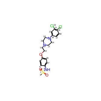 CS(=O)(=O)Nc1ccc(OCCN2CCN(c3ccc(Cl)c(Cl)c3)CC2)cc1